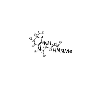 C=CC1(C)CC=C(N(C)C(=C)C(N)CCC(=C)NNC)C=C1C